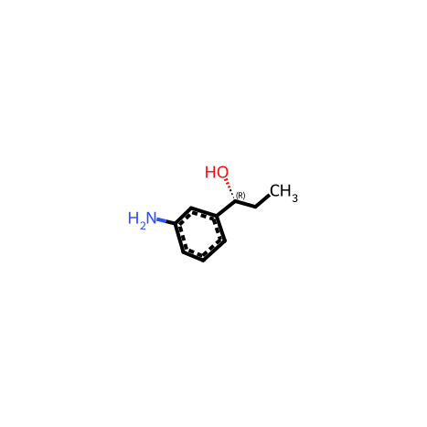 CC[C@@H](O)c1cccc(N)c1